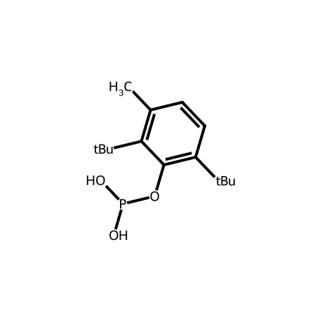 Cc1ccc(C(C)(C)C)c(OP(O)O)c1C(C)(C)C